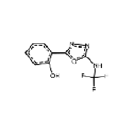 Oc1ccccc1-c1nnc(NC(F)(F)F)o1